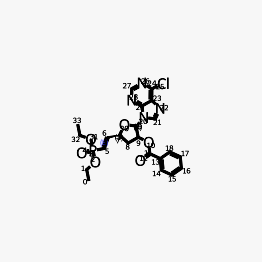 CCOP(=O)(/C=C/[C@@H]1CC(OC(=O)c2ccccc2)[C@H](n2cnc3c(Cl)ncnc32)O1)OCC